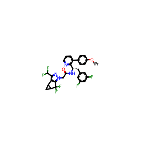 CC(C)Oc1ccc(-c2cccnc2[C@H](Cc2cc(F)cc(F)c2)NC(=O)Cn2nc(C(F)F)c3c2C(F)(F)C2CC32)cc1